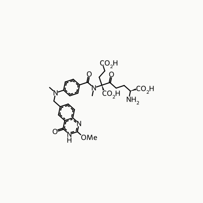 COc1nc2ccc(CN(C)c3ccc(C(=O)N(C)[C@@](CCC(=O)O)(C(=O)O)C(=O)CC[C@H](N)C(=O)O)cc3)cc2c(=O)[nH]1